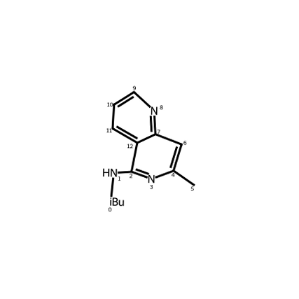 CCC(C)Nc1nc(C)cc2ncccc12